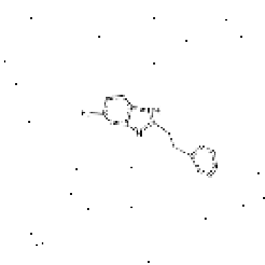 CCc1ccc2[nH]c(CCc3ccccc3)nc2c1